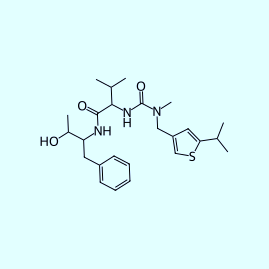 CC(C)c1cc(CN(C)C(=O)NC(C(=O)NC(Cc2ccccc2)C(C)O)C(C)C)cs1